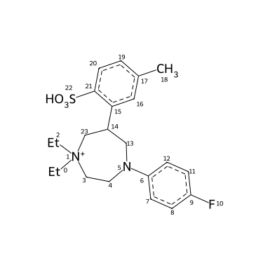 CC[N+]1(CC)CCN(c2ccc(F)cc2)CC(c2cc(C)ccc2S(=O)(=O)O)C1